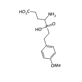 COc1ccc(CCP(=O)(O)C(N)CCC(=O)O)cc1